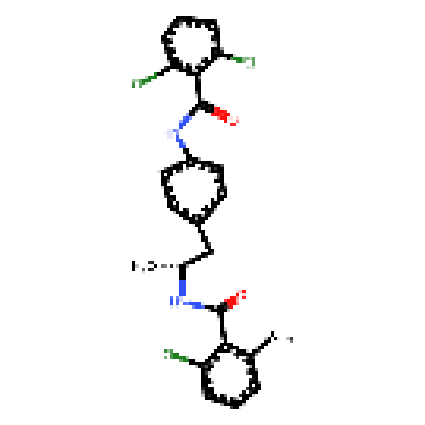 Cc1cccc(Cl)c1C(=O)N[C@H](C)Cc1ccc(NC(=O)c2c(Cl)cccc2Cl)cc1